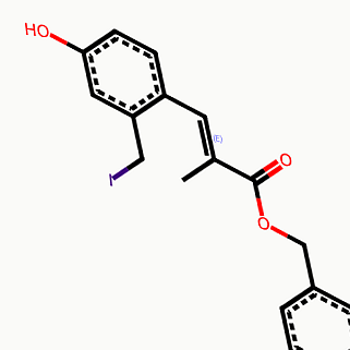 C/C(=C\c1ccc(O)cc1CI)C(=O)OCc1ccccc1